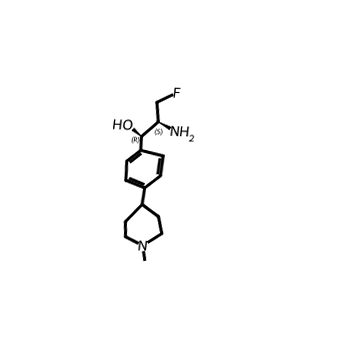 CN1CCC(c2ccc([C@@H](O)[C@H](N)CF)cc2)CC1